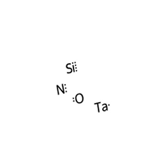 [N].[O].[Si].[Ta]